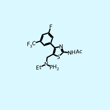 CCN(P)Cc1sc(NC(C)=O)nc1-c1cc(F)cc(C(F)(F)F)c1